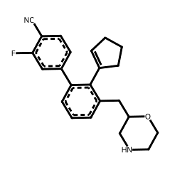 N#Cc1ccc(-c2cccc(CC3CNCCO3)c2C2=CCCC2)cc1F